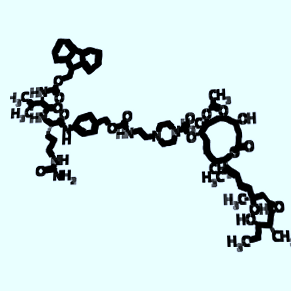 CC[C@H](O)[C@@H](C)[C@H]1O[C@@H]1C[C@@](C)(O)/C=C/C=C(\C)[C@H]1OC(=O)C[C@H](O)CC[C@@](C)(OC(C)=O)[C@@H](OC(=O)N2CCN(CCNC(=O)OCc3ccc(NC(=O)[C@H](CCCNC(N)=O)NC(=O)[C@@H](NC(=O)OCC4c5ccccc5-c5ccccc54)C(C)C)cc3)CC2)/C=C/[C@@H]1C